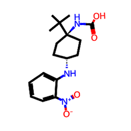 CC(C)(C)[C@]1(NC(=O)O)CC[C@H](Nc2ccccc2[N+](=O)[O-])CC1